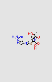 C[C@@H](O)[C@H]1C(=O)N2C(C(=O)O)=C(SC3CN([C@H]4CC[C@@H](NC(=N)N)C4)C3)[C@H](C)[C@H]12